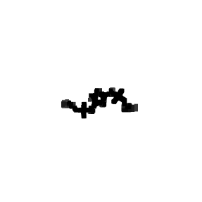 CC(C)(C)CC(C)(C)Sc1nnc(SC(C)(C)CC(C)(C)C)s1